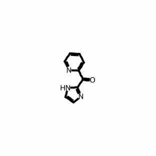 O=C(c1ccccn1)c1ncc[nH]1